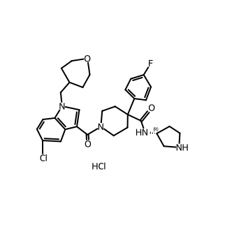 Cl.O=C(c1cn(CC2CCOCC2)c2ccc(Cl)cc12)N1CCC(C(=O)N[C@@H]2CCNC2)(c2ccc(F)cc2)CC1